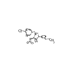 CCOC1CN(Cc2ccc(Cl)nc2)/C(=N/[N+](=O)[O-])N1